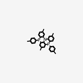 Cc1ccc(P2c3ccc(C)cc3N3c4cc(C)ccc4P(c4ccc(C)cc4)c4cc(C)cc2c43)cc1